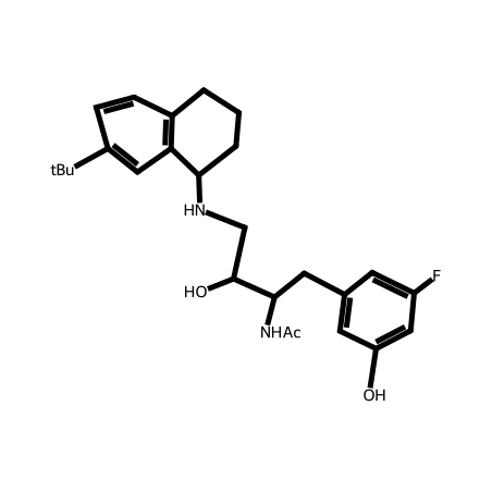 CC(=O)NC(Cc1cc(O)cc(F)c1)C(O)CNC1CCCc2ccc(C(C)(C)C)cc21